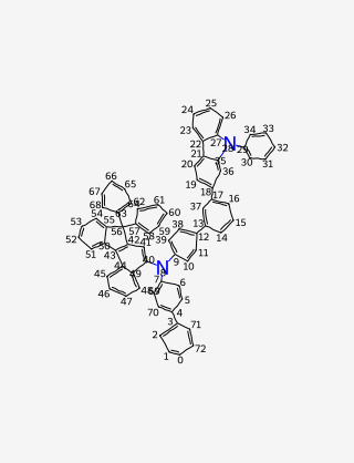 c1ccc(-c2ccc(N(c3ccc(-c4cccc(-c5ccc6c7ccccc7n(-c7ccccc7)c6c5)c4)cc3)c3cc4c(c5ccccc35)-c3ccccc3C4(c3ccccc3)c3ccccc3)cc2)cc1